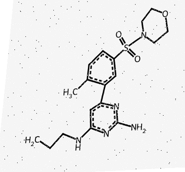 [CH2]CCNc1cc(-c2cc(S(=O)(=O)N3CCOCC3)ccc2C)nc(N)n1